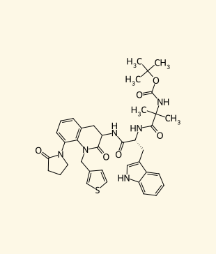 CC(C)(C)OC(=O)NC(C)(C)C(=O)N[C@H](Cc1c[nH]c2ccccc12)C(=O)NC1Cc2cccc(N3CCCC3=O)c2N(Cc2ccsc2)C1=O